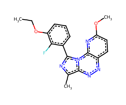 CCOc1cccc(-c2nc(C)c3nnc4ccc(OC)nc4n23)c1F